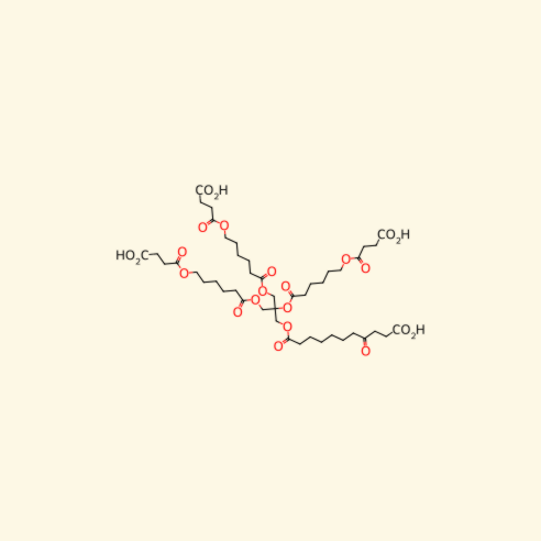 O=C(O)CCC(=O)CCCCCCC(=O)OCC(COC(=O)CCCCCOC(=O)CCC(=O)O)(COC(=O)CCCCCOC(=O)CCC(=O)O)OC(=O)CCCCCOC(=O)CCC(=O)O